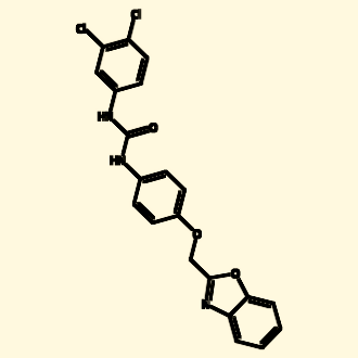 O=C(Nc1ccc(OCc2nc3ccccc3o2)cc1)Nc1ccc(Cl)c(Cl)c1